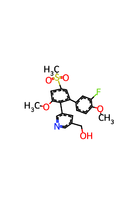 COc1ccc(-c2cc(S(C)(=O)=O)cc(OC)c2-c2cncc(CO)c2)cc1F